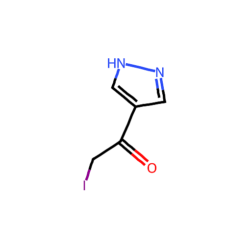 O=C(CI)c1cn[nH]c1